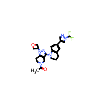 CC(=O)N1CCc2c(c(N3CCCc4cc(-c5cnn(C(F)F)c5)ccc43)nn2C2COC2)C1